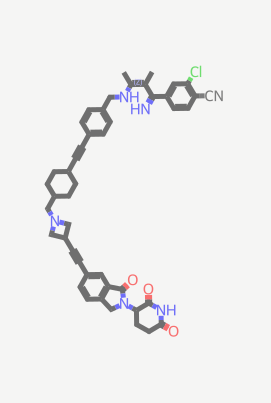 C/C(NCc1ccc(C#CC2CCC(CN3CC(C#Cc4ccc5c(c4)C(=O)N(C4CCC(=O)NC4=O)C5)C3)CC2)cc1)=C(\C)C(=N)c1ccc(C#N)c(Cl)c1